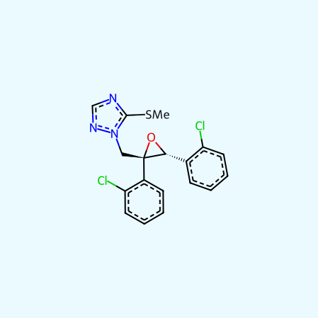 CSc1ncnn1C[C@@]1(c2ccccc2Cl)O[C@@H]1c1ccccc1Cl